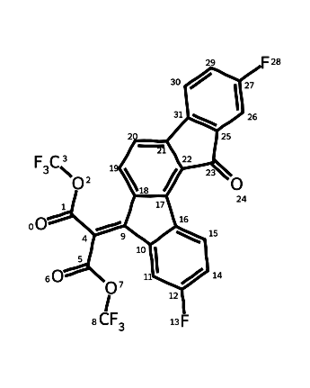 O=C(OC(F)(F)F)C(C(=O)OC(F)(F)F)=C1c2cc(F)ccc2-c2c1ccc1c2C(=O)c2cc(F)ccc2-1